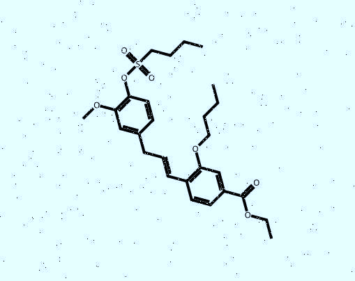 CCCCOc1cc(C(=O)OCC)ccc1C=CCc1ccc(OS(=O)(=O)CCCC)c(OC)c1